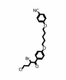 N#Cc1ccc(OCCCCCOc2ccc(C(=O)C(Br)CCCl)cc2)cc1